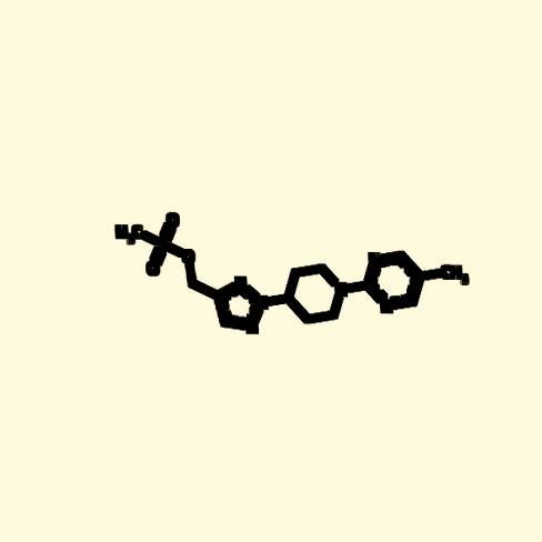 Cc1cnc(N2CCC(n3ncc(COS(C)(=O)=O)n3)CC2)nc1